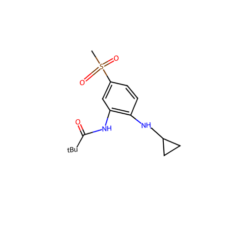 CC(C)(C)C(=O)Nc1cc(S(C)(=O)=O)ccc1NCC1CC1